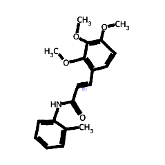 COc1ccc(/C=C/C(=O)Nc2ccccc2C)c(OC)c1OC